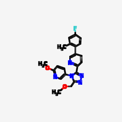 COCc1nnc(-c2ccc(-c3ccc(F)cc3C)cn2)n1-c1ccc(OC)nc1